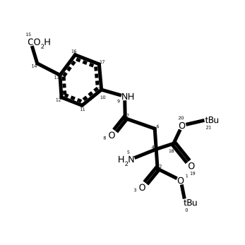 CC(C)(C)OC(=O)C(N)(CC(=O)Nc1ccc(CC(=O)O)cc1)C(=O)OC(C)(C)C